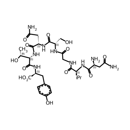 CC(C)[C@H](NC(=O)[C@@H](N)CC(N)=O)C(=O)NCC(=O)N[C@@H](CO)C(=O)N[C@@H](CC(N)=O)C(=O)N[C@H](C(=O)N[C@@H](Cc1ccc(O)cc1)C(=O)O)[C@@H](C)O